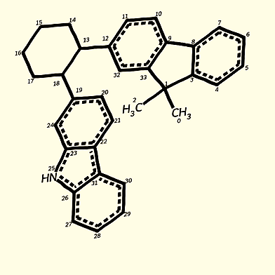 CC1(C)c2ccccc2-c2ccc(C3CCCCC3c3ccc4c(c3)[nH]c3ccccc34)cc21